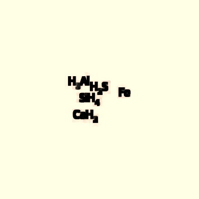 S.[AlH3].[CaH2].[Fe].[SiH4]